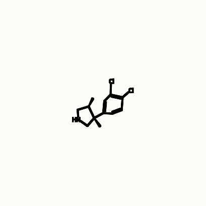 C[C@@H]1CNC[C@@]1(C)c1ccc(Cl)c(Cl)c1